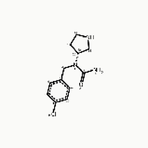 NC(=O)N(Cc1ccc(Cl)cc1)[C@@H]1CCNC1